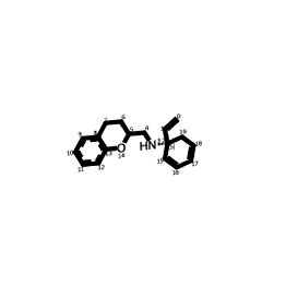 C=C[C@]1(NCC2CCc3ccccc3O2)C=CC=CC1